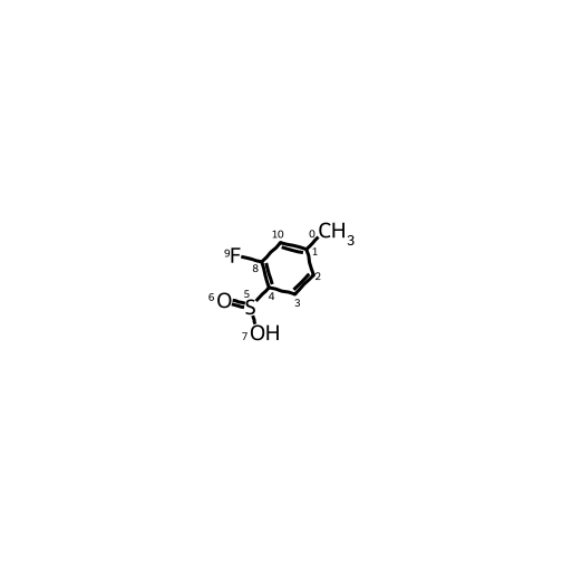 Cc1ccc(S(=O)O)c(F)c1